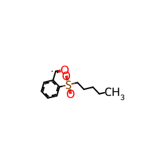 CCCCCS(=O)(=O)c1ccccc1[C]=O